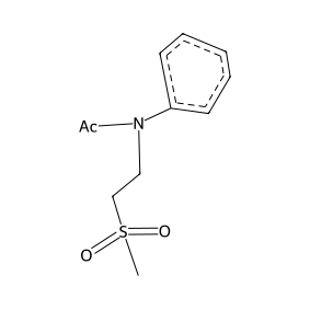 CC(=O)N(CCS(C)(=O)=O)c1ccccc1